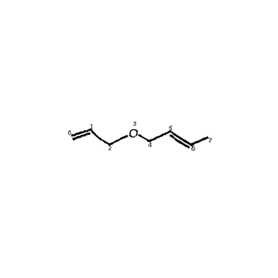 C=CCOCC=CC